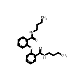 CCCCNC(=O)c1ccccc1Sc1ccccc1C(=O)NCCCC